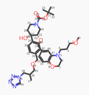 COCCCN1CCOc2ccc(CO[C@H]3CN(C(=O)OC(C)(C)C)CC[C@]3(O)c3ccc(COCC(C)Cn4cnnn4)cc3)cc21